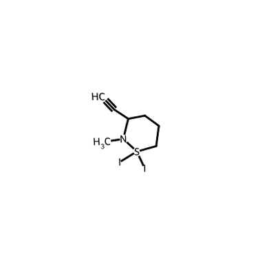 C#CC1CCCS(I)(I)N1C